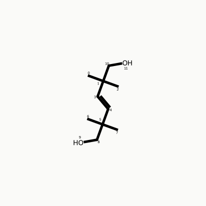 CC(C)(C=CC(C)(C)CO)CO